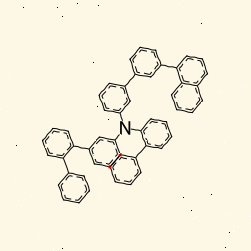 c1ccc(-c2ccccc2-c2cccc(N(c3cccc(-c4cccc(-c5cccc6ccccc56)c4)c3)c3ccccc3-c3ccccc3)c2)cc1